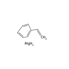 C=Cc1ccccc1.[MgH2]